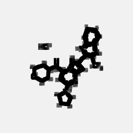 Cl.FC(F)(F)c1nc2ccccc2nc1-c1cc2nc(N3CCCC3)cc(NC3CCOCC3)n2n1